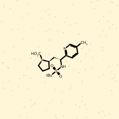 Cc1ccc([C@@H](C[C@H]2CCCN2C(=O)O)NS(=O)(=O)C(C)(C)C)nc1